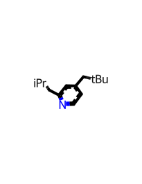 CC(C)Cc1cc(CC(C)(C)C)ccn1